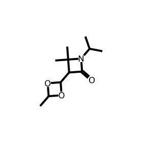 CC1OC(C2C(=O)N(C(C)C)C2(C)C)O1